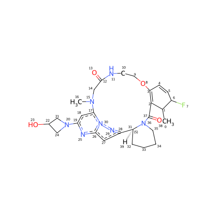 CC1C2=C(C=CC1F)OCCNC(=O)CN(C)c1cc(N3CC(O)C3)nc3cc(nn13)[C@@H]1CCCCN1C2=O